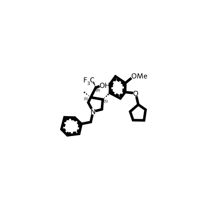 COc1ccc([C@@H]2CN(Cc3ccccc3)C[C@@]2(C)[C@@H](O)C(F)(F)F)cc1OC1CCCC1